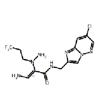 N/C=C(/C(=O)NCc1cn2ncc(Cl)cc2n1)N(N)CCC(F)(F)F